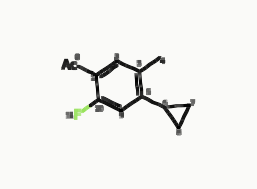 CC(=O)c1cc(C)c(C2CC2)cc1F